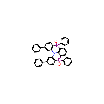 O=P1(c2ccccc2)c2ccc(-c3ccccc3)cc2N2c3cc(-c4ccccc4)ccc3P(=O)(c3ccccc3)c3cccc1c32